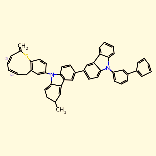 C=C1/C=C\C=C/Cc2cc(-n3c4c(c5cc(-c6ccc7c(c6)c6ccccc6n7-c6cccc(-c7ccccc7)c6)ccc53)=CC(C)CC=4)ccc2S1